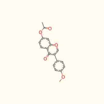 COc1ccc(-c2coc3cc(OC(C)=O)ccc3c2=O)cc1